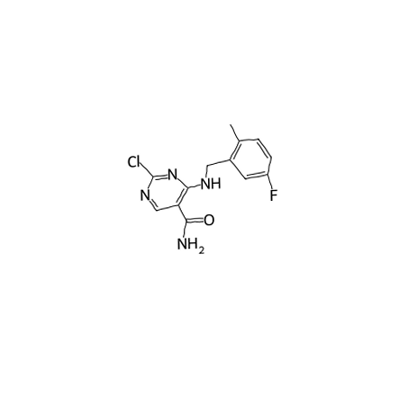 Cc1ccc(F)cc1CNc1nc(Cl)ncc1C(N)=O